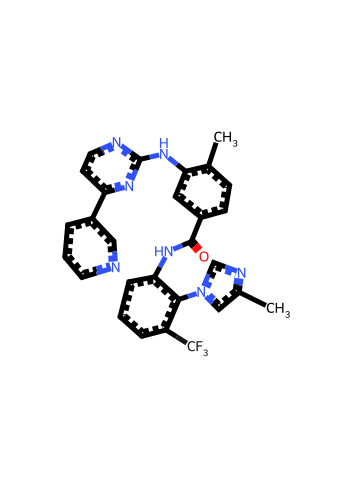 Cc1cn(-c2c(NC(=O)c3ccc(C)c(Nc4nccc(-c5cccnc5)n4)c3)cccc2C(F)(F)F)cn1